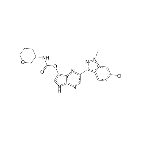 Cn1nc(-c2cnc3[nH]cc(OC(=O)N[C@H]4CCCOC4)c3n2)c2ccc(Cl)cc21